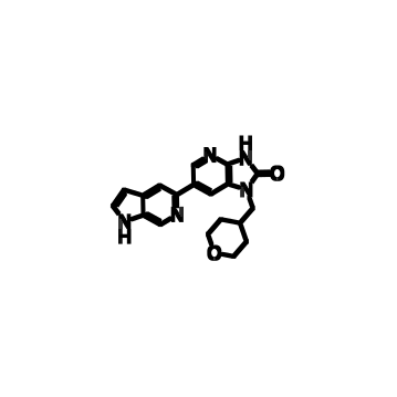 O=c1[nH]c2ncc(-c3cc4cc[nH]c4cn3)cc2n1CC1CCOCC1